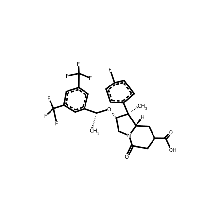 C[C@@H](O[C@H]1CN2C(=O)CC(C(=O)O)C[C@H]2[C@]1(C)c1ccc(F)cc1)c1cc(C(F)(F)F)cc(C(F)(F)F)c1